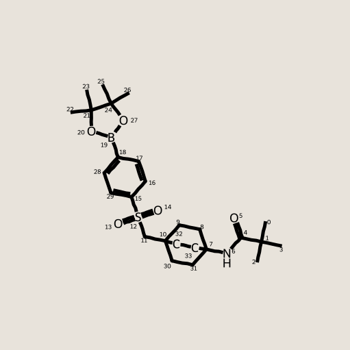 CC(C)(C)C(=O)NC12CCC(CS(=O)(=O)c3ccc(B4OC(C)(C)C(C)(C)O4)cc3)(CC1)CC2